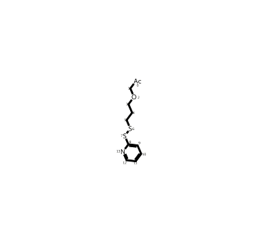 CC(=O)COCCCSSc1ccccn1